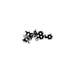 CCOP(=O)(CC(CC(C)C)C(=O)N[C@@H](CC(C)C)C(=O)NC)CN1C(=O)c2cccc3c(OCc4ccccc4)ccc(c23)C1=O